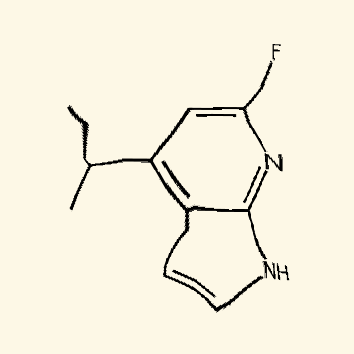 CC(C)c1cc(F)nc2[nH]ccc12